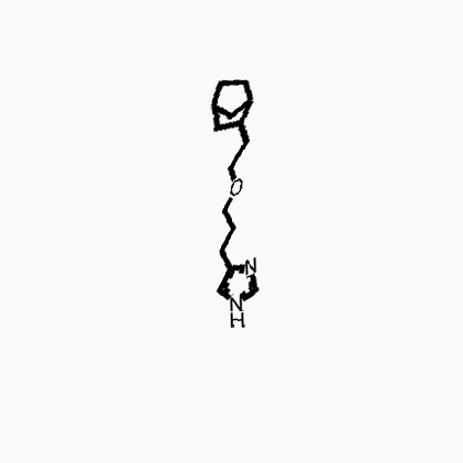 c1nc(CCCOCCC2CC3CCC2C3)c[nH]1